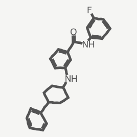 O=C(Nc1cccc(F)c1)c1cccc(NC2CCC(c3ccccc3)CC2)c1